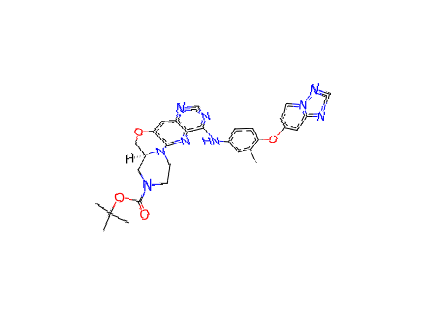 Cc1cc(Nc2ncnc3cc4c(nc23)N2CCN(C(=O)OC(C)(C)C)C[C@H]2CO4)ccc1Oc1ccn2ncnc2c1